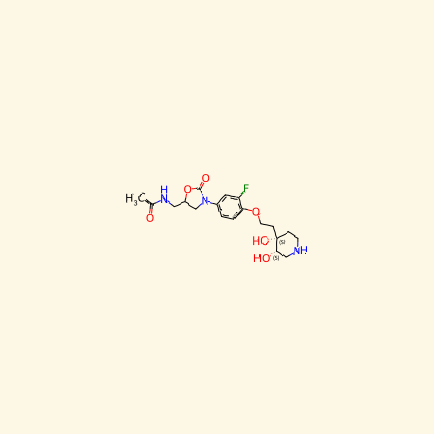 CC(=O)NCC1CN(c2ccc(OCC[C@@]3(O)CCNC[C@@H]3O)c(F)c2)C(=O)O1